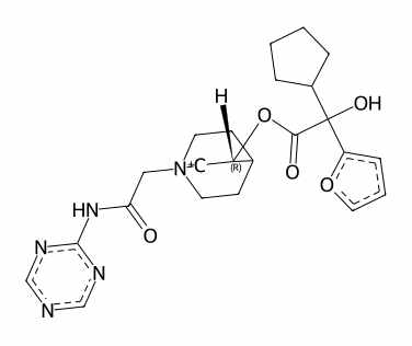 O=C(C[N+]12CCC(CC1)[C@@H](OC(=O)C(O)(c1ccco1)C1CCCC1)C2)Nc1ncncn1